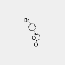 O=C1CC[C@@H](c2ccc(Br)cc2)O1